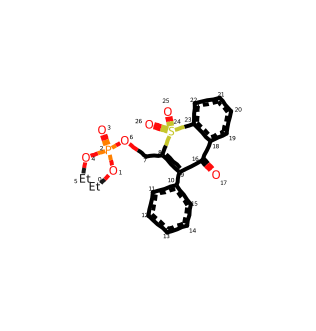 CCOP(=O)(OCC)OCC1=C(c2ccccc2)C(=O)c2ccccc2S1(=O)=O